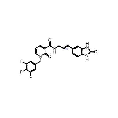 O=C(NC/C=C/c1ccc2[nH]c(=O)[nH]c2c1)c1cccn(Cc2cc(F)c(F)c(F)c2)c1=O